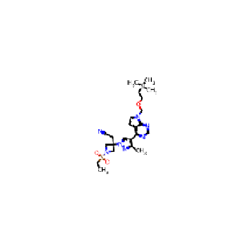 CCS(=O)(=O)N1CC(CC#N)(n2cc(-c3ncnc4c3ccn4COCC[Si](C)(C)C)c(C)n2)C1